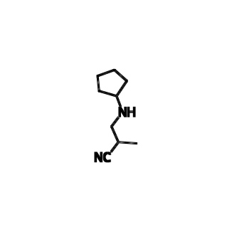 CC(C#N)CNC1CCCC1